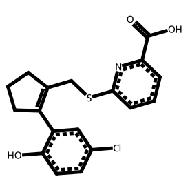 O=C(O)c1cccc(SCC2=C(c3cc(Cl)ccc3O)CCC2)n1